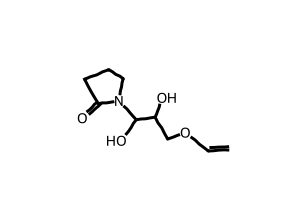 C=COCC(O)C(O)N1CCCC1=O